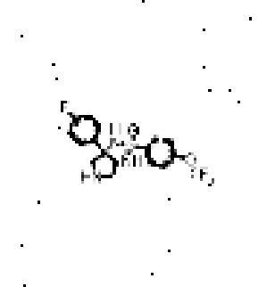 N=S(=O)(N[C@@]1(c2ccc(F)cc2)CCNC1)c1ccc(OC(F)(F)F)cc1